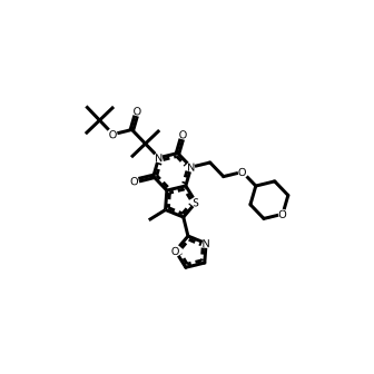 Cc1c(-c2ncco2)sc2c1c(=O)n(C(C)(C)C(=O)OC(C)(C)C)c(=O)n2CCOC1CCOCC1